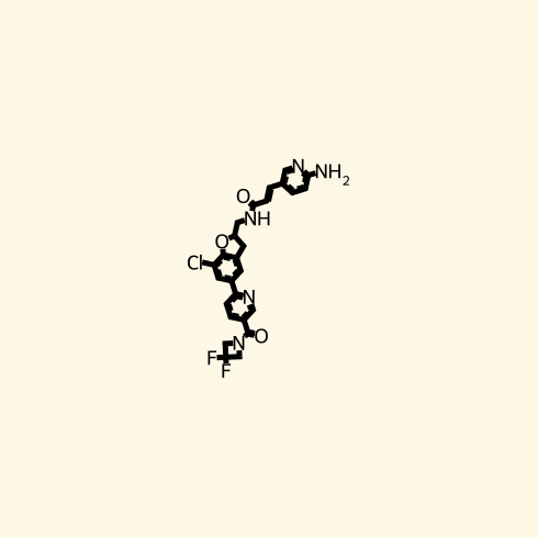 Nc1ccc(C=CC(=O)NCC2Cc3cc(-c4ccc(C(=O)N5CC(F)(F)C5)cn4)cc(Cl)c3O2)cn1